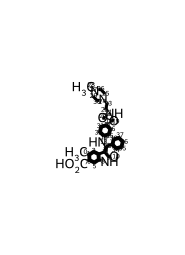 Cc1cc2c(cc1C(=O)O)NC(=O)C2=C(Nc1ccc(S(=O)(=O)NCCN2CCN(C)CC2)cc1)c1ccccc1